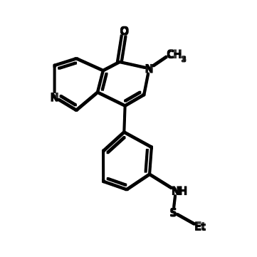 CCSNc1cccc(-c2cn(C)c(=O)c3ccncc23)c1